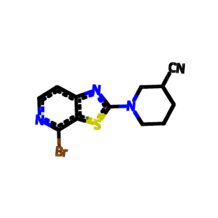 N#CC1CCCN(c2nc3ccnc(Br)c3s2)C1